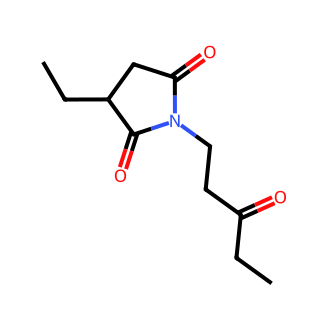 CCC(=O)CCN1C(=O)CC(CC)C1=O